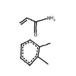 C=CC(N)=O.Cc1ccccc1C